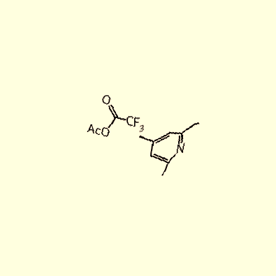 CC(=O)OC(=O)C(F)(F)F.Cc1cc(C)nc(C)c1